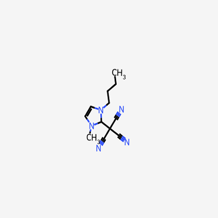 CCCCN1C=CN(C)C1C(C#N)(C#N)C#N